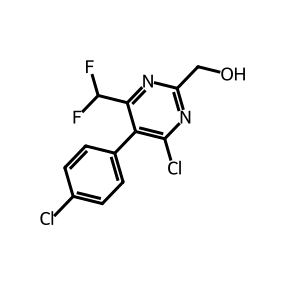 OCc1nc(Cl)c(-c2ccc(Cl)cc2)c(C(F)F)n1